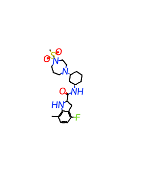 Cc1ccc(F)c2c1NC(C(=O)N[C@@H]1CCC[C@@H](N3CCCN(S(C)(=O)=O)CC3)C1)C2